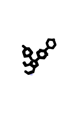 C=Cc1c(/C=C\C)cc(-c2cnc(N3CCOCC3)nc2)n1-c1ccc(C)cc1